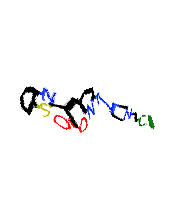 O=c1oc2nc(N3CCN(CCCl)CC3)ccc2cc1-c1nc2ccccc2s1